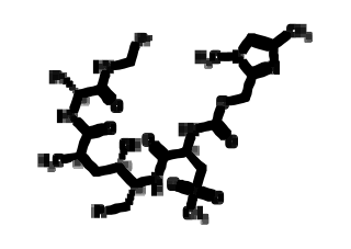 Cc1cn(C)c(COC(=O)N[C@@H](CS(C)(=O)=O)C(=O)N[C@H](CC(C)C)[C@@H](O)C[C@@H](C)C(=O)N[C@@H](C(=O)NCC(C)C)C(C)C)n1